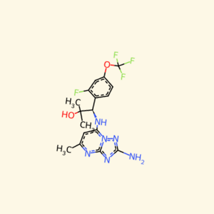 Cc1cc(N[C@H](c2ccc(OC(F)(F)F)cc2F)C(C)(C)O)n2nc(N)nc2n1